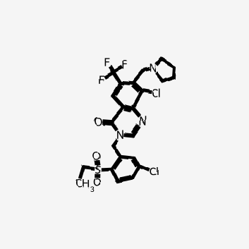 CCS(=O)(=O)c1ccc(Cl)cc1Cn1cnc2c(Cl)c(CN3CCCC3)c(C(F)(F)F)cc2c1=O